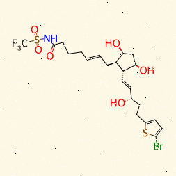 O=C(CCCC=CC[C@@H]1[C@@H](C=C[C@@H](O)CCc2ccc(Br)s2)[C@H](O)C[C@@H]1O)NS(=O)(=O)C(F)(F)F